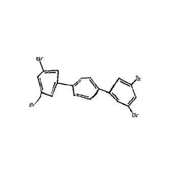 Brc1cc(Br)cc(-c2ccc(-c3cc(Br)cc(Br)c3)cc2)c1